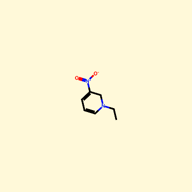 CCN1C=CC=C([N+](=O)[O-])C1